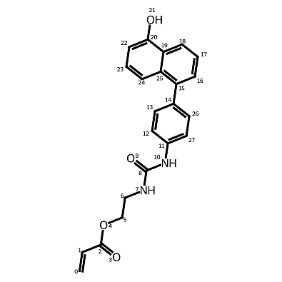 C=CC(=O)OCCNC(=O)Nc1ccc(-c2cccc3c(O)cccc23)cc1